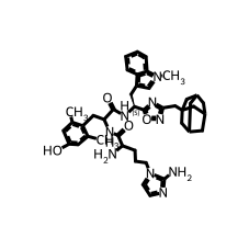 Cc1cc(O)cc(C)c1CC(NC(=O)C(N)CCCn1ccnc1N)C(=O)N[C@@H](Cc1cn(C)c2ccccc12)c1nc(CC23CC4CC(CC(C4)C2)C3)no1